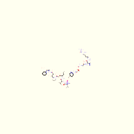 CC[C@H](C)[C@@H]([C@@H](CC(=O)N1CCC[C@H]1[C@H](OC)[C@@H](C)C(=O)N[C@H](C)[C@@H](O)c1ccccc1)OC)N(C)C(=O)[C@@H](NC(=O)[C@H](C(C)C)N(C)C(=O)OCc1ccc(NC(=O)C(C)(C)OC(=O)N(C)CC(=O)N[C@H](C(=O)N[C@@H](C)CCCNC(N)=O)C(C)C)cc1)C(C)C